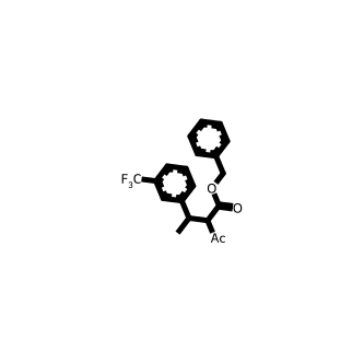 CC(=O)C(C(=O)OCc1ccccc1)C(C)c1cccc(C(F)(F)F)c1